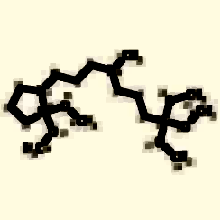 CO[Si](CCCN(C)CCCN1CCC[Si]1(OC)OC)(OC)OC